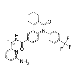 C[C@H](NC(=O)c1ccc2c(c1)c1c(c(=O)n2-c2ccc(C(F)(F)F)cc2)CCCC1)c1cccc(N)n1